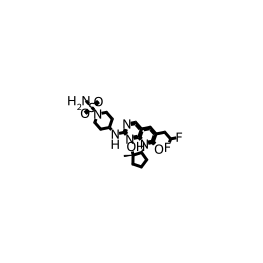 C[C@]1(O)CCC[C@H]1n1c(=O)c(CC(F)F)cc2cnc(NC3CCN(S(N)(=O)=O)CC3)nc21